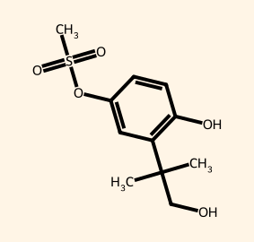 CC(C)(CO)c1cc(OS(C)(=O)=O)ccc1O